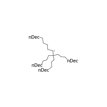 CCCCCCCCCCCCCC[C]C(CCCCCCCCCCCCC)(CCCCCCCCCCCCC)CCCCCCCCCCCCC